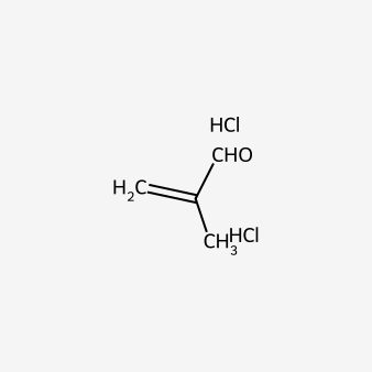 C=C(C)C=O.Cl.Cl